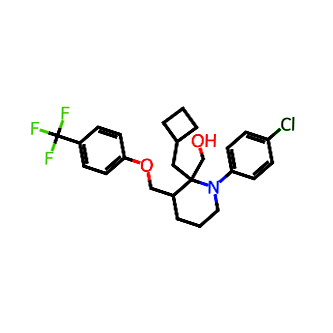 OCC1(CC2CCC2)C(COc2ccc(C(F)(F)F)cc2)CCCN1c1ccc(Cl)cc1